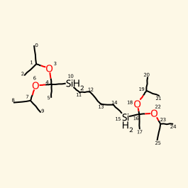 CC(C)OC(C)(OC(C)C)[SiH2]CCCC[SiH2]C(C)(OC(C)C)OC(C)C